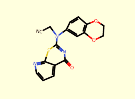 N#CCN(c1ccc2c(c1)OCCO2)c1nc(=O)c2cccnc2s1